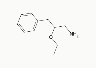 CCOC(CN)Cc1ccccc1